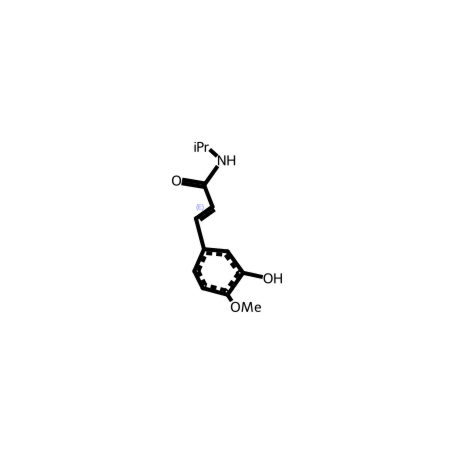 COc1ccc(/C=C/C(=O)NC(C)C)cc1O